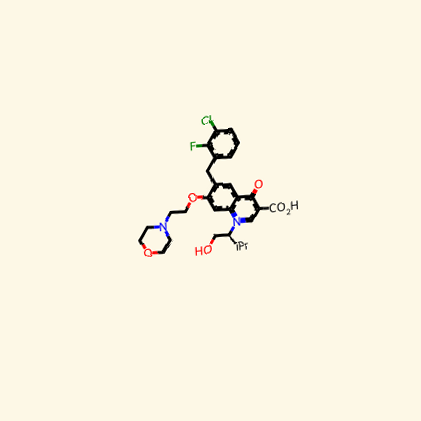 CC(C)[C@@H](CO)n1cc(C(=O)O)c(=O)c2cc(Cc3cccc(Cl)c3F)c(OCCN3CCOCC3)cc21